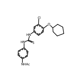 CC(=O)Nc1ccc(NC(=S)Nc2ccc(OC3CCCCC3)c(Cl)c2)cc1